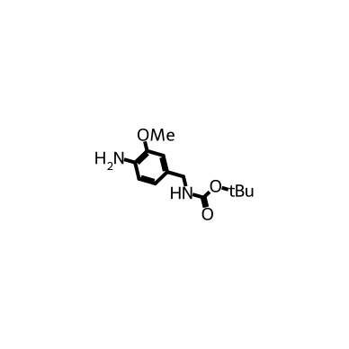 COc1cc(CNC(=O)OC(C)(C)C)ccc1N